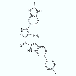 Cc1ccc(-c2ccc3cc(C(=O)c4cnn(-c5ccc6[nH]c(C)nc6c5)c4N)[nH]c3c2)cn1